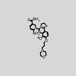 COc1c(OCCCN2CCOCC2)ccc2c1N=C(N1CC(C(N)=O)=CC=C1N)N1CCN=C21